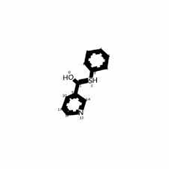 OC(=[SH]c1ccccc1)c1cccnc1